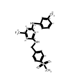 CS(=O)(=O)c1ccc(CNc2nc(Nc3cccc(C(F)(F)F)c3)nc(C(F)(F)F)n2)cc1